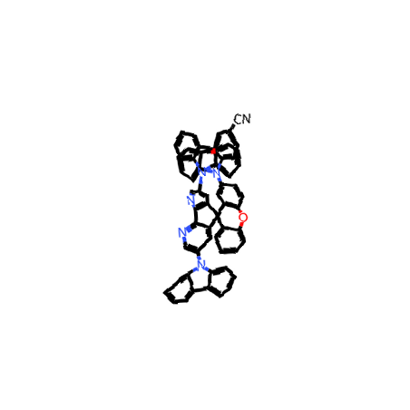 N#Cc1ccc2c(c1)c1ccccc1n2-c1ccc2c(c1)C1(c3ccccc3O2)c2cc(-n3c4ccccc4c4ccccc43)cnc2-c2ncc(-n3c4ccccc4c4ccccc43)cc21